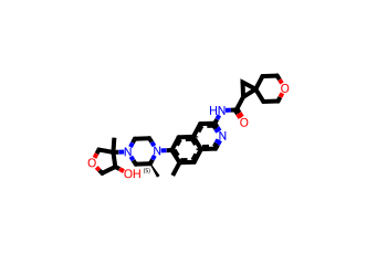 Cc1cc2cnc(NC(=O)C3CC34CCOCC4)cc2cc1N1CCN(C2(C)COCC2O)C[C@@H]1C